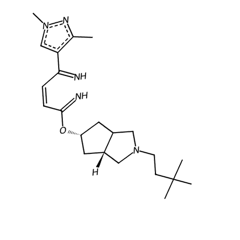 Cc1nn(C)cc1C(=N)/C=C\C(=N)O[C@@H]1CC2CN(CCC(C)(C)C)C[C@@H]2C1